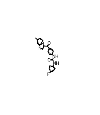 Cc1ccn2c(C(=O)c3ccc(NC(=O)Nc4ccc(F)cc4)cc3)cnc2c1